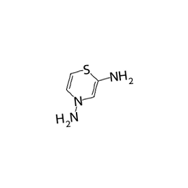 NC1=CN(N)C=CS1